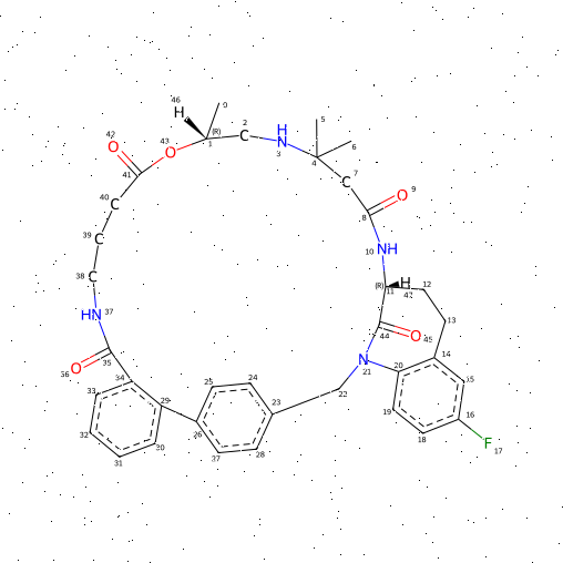 C[C@@H]1CNC(C)(C)CC(=O)N[C@@H]2CCc3cc(F)ccc3N(Cc3ccc(cc3)-c3ccccc3C(=O)NCCCC(=O)O1)C2=O